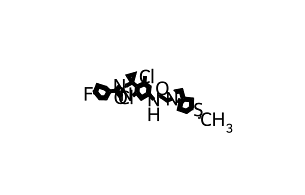 CCSc1ccc2c(ccn2CC(=O)Nc2cc(Cl)c(C3(c4noc(-c5ccc(F)cc5)n4)CC3)c(Cl)c2)c1